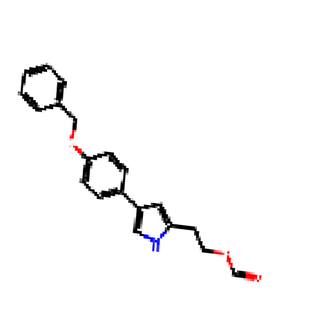 O=COCCc1cc(-c2ccc(OCc3ccccc3)cc2)c[nH]1